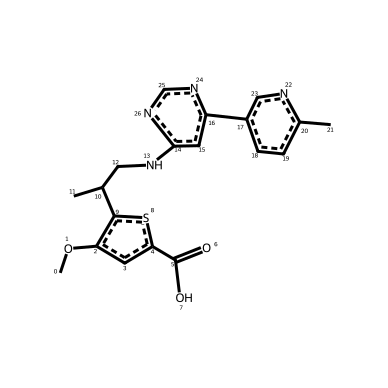 COc1cc(C(=O)O)sc1C(C)CNc1cc(-c2ccc(C)nc2)ncn1